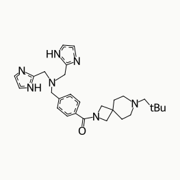 CC(C)(C)CN1CCC2(CC1)CN(C(=O)c1ccc(CN(Cc3ncc[nH]3)Cc3ncc[nH]3)cc1)C2